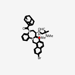 CN[C@@](C)(C=O)CN[C@H]1CN(C(=O)C2CC3CC4CC(C3)CC2C4)c2ccccc2N(Cc2c(OC)ccc3cc(Br)ccc23)C1=O